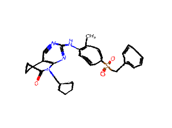 Cc1cc(S(=O)(=O)Cc2ccccc2)ccc1Nc1ncc2c(n1)N(C1CCCC1)C(=O)C21CC1